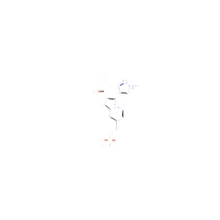 CCOC(=O)c1cc2cc(COS(C)(=O)=O)ccn2c1-c1cnn(C)c1